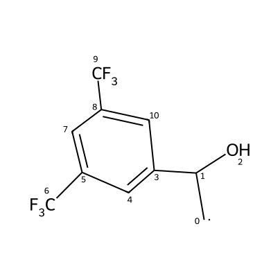 [CH2]C(O)c1cc(C(F)(F)F)cc(C(F)(F)F)c1